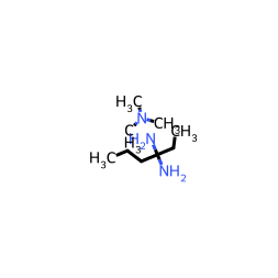 CCCC(N)(N)CC.CN(C)C